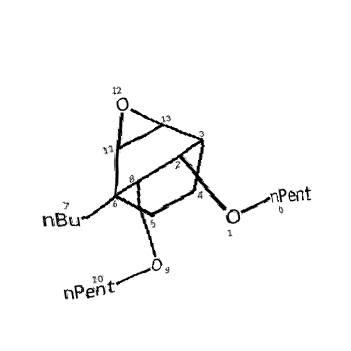 CCCCCOC1C2CCC(CCCC)(C1OCCCCC)C1OC21